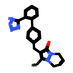 CCCc1c(Cc2ccc(-c3ccccc3-c3nnn[nH]3)cc2)c(=O)n2n1CC=CC2